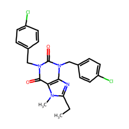 CCc1nc2c(c(=O)n(Cc3ccc(Cl)cc3)c(=O)n2Cc2ccc(Cl)cc2)n1C